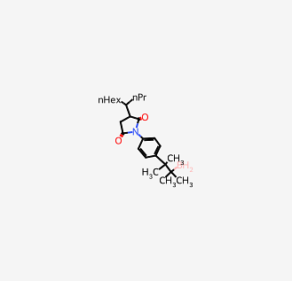 BC(C)(C)C(C)(C)c1ccc(N2C(=O)CC(C(CCC)CCCCCC)C2=O)cc1